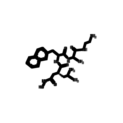 CC(C)C[C@H](CC(=O)NO)C(=O)NC(Cc1ccc2ccccc2c1)C(=O)NC(C)C(=O)NCCN